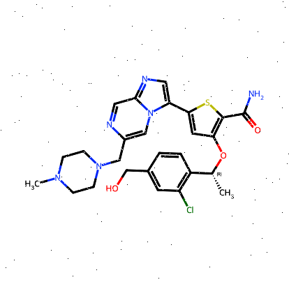 C[C@@H](Oc1cc(-c2cnc3cnc(CN4CCN(C)CC4)cn23)sc1C(N)=O)c1ccc(CO)cc1Cl